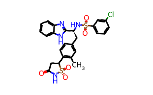 Cc1cc(C[C@H](NS(=O)(=O)c2cccc(Cl)c2)c2nc3ccccc3[nH]2)ccc1C1CC(=O)NS1(=O)=O